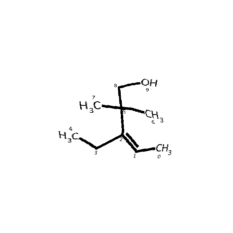 CC=C(CC)C(C)(C)CO